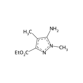 CCOC(=O)c1nn(C)c(N)c1C